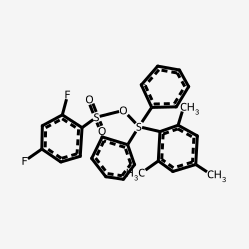 Cc1cc(C)c(S(OS(=O)(=O)c2ccc(F)cc2F)(c2ccccc2)c2ccccc2)c(C)c1